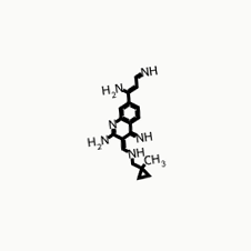 CC1(CN/C=C2\C(=N)c3ccc(/C(N)=C/C=N)cc3N=C2N)CC1